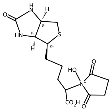 O=C1N[C@H]2[C@H](CS[C@H]2CCCC(C(=O)O)[N+]2(O)C(=O)CCC2=O)N1